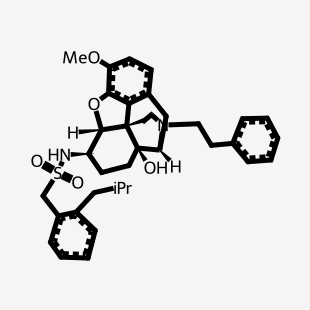 COc1ccc2c3c1O[C@H]1[C@H](NS(=O)(=O)Cc4ccccc4CC(C)C)CC[C@@]4(O)[C@@H](C2)N(CCc2ccccc2)CC[C@]314